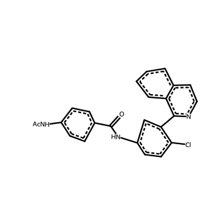 CC(=O)Nc1ccc(C(=O)Nc2ccc(Cl)c(-c3nccc4ccccc34)c2)cc1